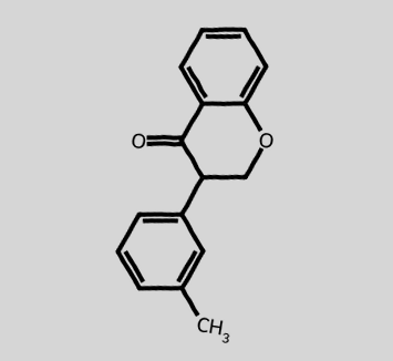 Cc1cccc(C2COc3ccccc3C2=O)c1